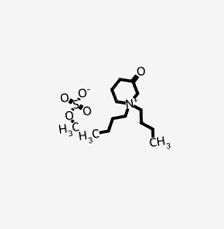 CCCC[N+]1(CCCC)CCCC(=O)C1.COS(=O)(=O)[O-]